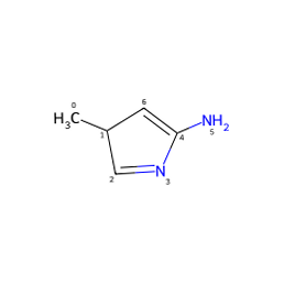 CC1C=NC(N)=C1